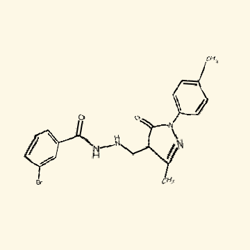 CC1=NN(c2ccc(C)cc2)C(=O)C1CNNC(=O)c1cccc(Br)c1